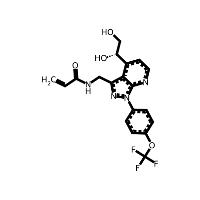 C=CC(=O)NCc1nn(-c2ccc(OC(F)(F)F)cc2)c2nccc([C@H](O)CO)c12